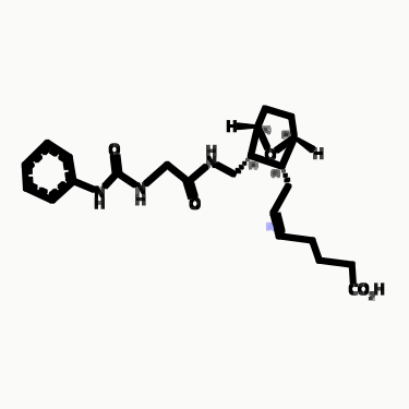 O=C(O)CCC/C=C\C[C@@H]1[C@H](CNC(=O)CNC(=O)Nc2ccccc2)[C@@H]2CC[C@H]1O2